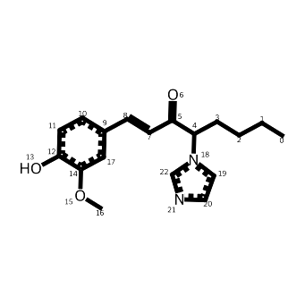 CCCCC(C(=O)C=Cc1ccc(O)c(OC)c1)n1ccnc1